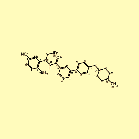 Bc1cnc(C#N)nc1N(CC(C)C)NC(=O)c1cncc(-c2ccc(CN3CCN(C)CC3)cc2)c1